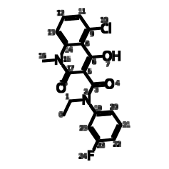 CCN(C(=O)c1c(O)c2c(Cl)cccc2n(C)c1=O)c1cccc(F)c1